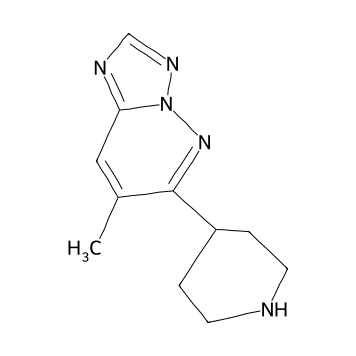 Cc1cc2ncnn2nc1C1CCNCC1